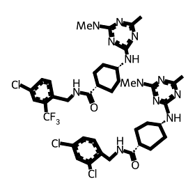 CNc1nc(C)nc(N[C@H]2CC[C@@H](C(=O)NCc3ccc(Cl)cc3C(F)(F)F)CC2)n1.CNc1nc(C)nc(N[C@H]2CC[C@@H](C(=O)NCc3ccc(Cl)cc3Cl)CC2)n1